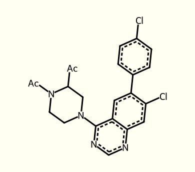 CC(=O)C1CN(c2ncnc3cc(Cl)c(-c4ccc(Cl)cc4)cc23)CCN1C(C)=O